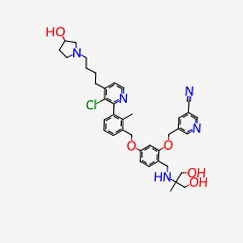 Cc1c(COc2ccc(CNC(C)(CO)CO)c(OCc3cncc(C#N)c3)c2)cccc1-c1nccc(CCCCN2CC[C@@H](O)C2)c1Cl